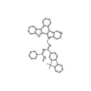 C=N/C(=N\C(=N/Cn1c2ccncc2c2c3ccccc3c3c4ccccc4oc3c21)c1ccc2c(c1)C(C)(C)c1ccccc1-2)c1ccccc1